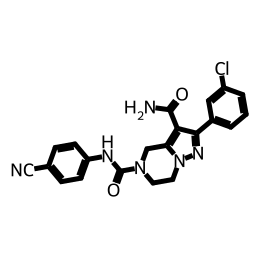 N#Cc1ccc(NC(=O)N2CCn3nc(-c4cccc(Cl)c4)c(C(N)=O)c3C2)cc1